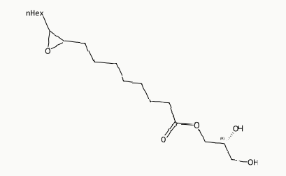 CCCCCCC1OC1CCCCCCCC(=O)OC[C@H](O)CO